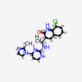 Cc1nccn1-c1ccnc(N[C@@H](C)c2cc3cccc(Cl)c3[nH]c2=O)n1